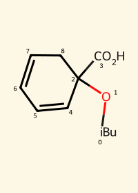 CCC(C)OC1(C(=O)O)C=CC=CC1